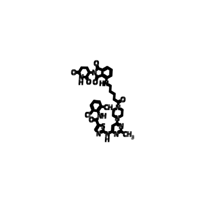 Cc1nc(Nc2ncc(C(=O)Nc3c(C)cccc3Cl)s2)cc(N2CCN(C(=O)CCCCNc3cccc4c3C(=O)N(C3CCC(=O)NC3=O)C4=O)CC2)n1